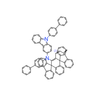 C=C/C=C\C1=C(N(c2ccc(-c3ccccc3)cc2)c2ccc3c(c2)c2ccccc2n3-c2ccc(-c3ccccc3)cc2)C2(c3ccccc3-c3ccccc32)c2ccccc2C12c1ccccc1-c1ccccc12